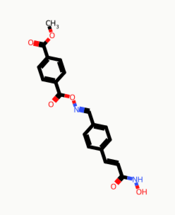 COC(=O)c1ccc(C(=O)ON=Cc2ccc(/C=C/C(=O)NO)cc2)cc1